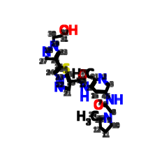 Cc1ncc(NC(=O)CN2CCC[C@@H]2C)cc1NC(=O)c1cnn2cc(-c3cnn(CCO)c3)sc12